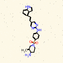 C=C1CN(S(=O)(=O)c2ccc(Nc3ncc(/C=C/c4cccc5[nH]ccc45)cn3)cc2)CCC1N